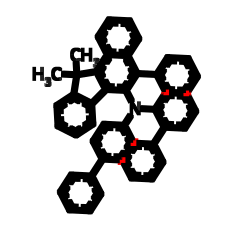 CC1(C)c2ccccc2-c2c(N(c3ccc(-c4ccccc4)cc3)c3ccccc3-c3ccccc3)c(-c3ccccc3)c3ccccc3c21